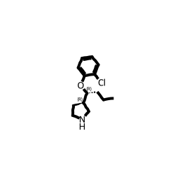 CCC[C@@H](Oc1ccccc1Cl)[C@@H]1CCNC1